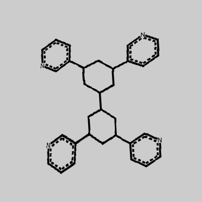 c1cncc(C2CC(c3cccnc3)CC(C3CC(c4cccnc4)CC(c4cccnc4)C3)C2)c1